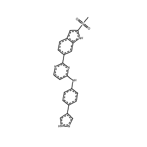 CS(=O)(=O)c1cc2ccc(-c3nccc(Nc4ccc(-c5cn[nH]c5)cc4)n3)cc2[nH]1